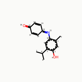 Cc1cc(O)c(C(C)C)cc1N=C1C=CC(=O)C=C1